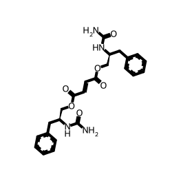 NC(=O)N[C@H](COC(=O)/C=C/C(=O)OC[C@H](Cc1ccccc1)NC(N)=O)Cc1ccccc1